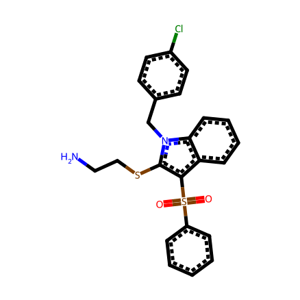 NCCSc1c(S(=O)(=O)c2ccccc2)c2ccccc2n1Cc1ccc(Cl)cc1